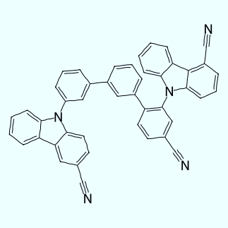 N#Cc1ccc(-c2cccc(-c3cccc(-n4c5ccccc5c5cc(C#N)ccc54)c3)c2)c(-n2c3ccccc3c3c(C#N)cccc32)c1